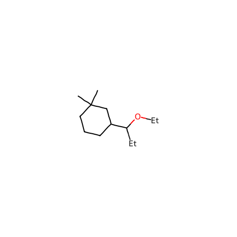 CCOC(CC)C1CCCC(C)(C)C1